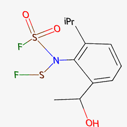 CC(C)c1cccc(C(C)O)c1N(SF)S(=O)(=O)F